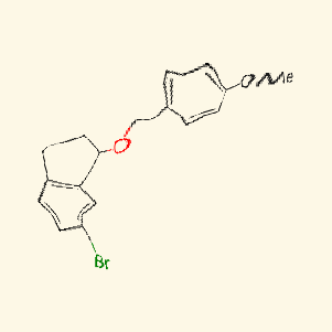 COc1ccc(COC2CCc3ccc(Br)cc32)cc1